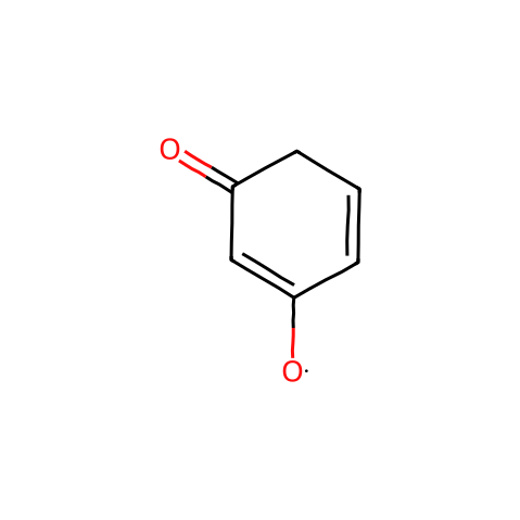 [O]C1=CC(=O)CC=C1